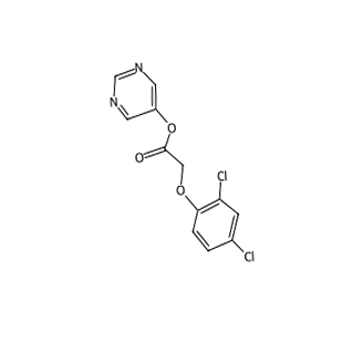 O=C(COc1ccc(Cl)cc1Cl)Oc1cncnc1